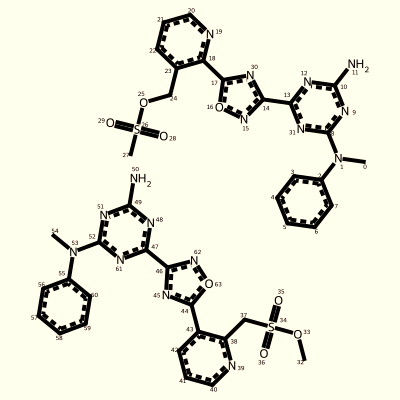 CN(c1ccccc1)c1nc(N)nc(-c2noc(-c3ncccc3COS(C)(=O)=O)n2)n1.COS(=O)(=O)Cc1ncccc1-c1nc(-c2nc(N)nc(N(C)c3ccccc3)n2)no1